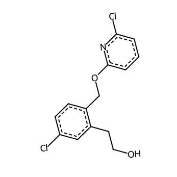 OCCc1cc(Cl)ccc1COc1cccc(Cl)n1